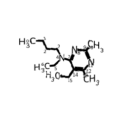 CCCCN(CC)c1nc(C)nc(C)c1CC